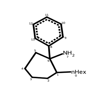 CCCCCCC1CCCCC1(N)c1ccccc1